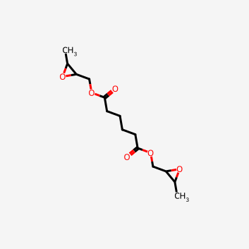 CC1OC1COC(=O)CCCCC(=O)OCC1OC1C